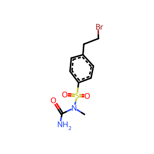 CN(C(N)=O)S(=O)(=O)c1ccc(CCBr)cc1